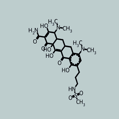 CN(C)c1cc(CCCNS(C)(=O)=O)c(O)c2c1CC1CC3C(N(C)C)C(O)=C(C(N)=O)C(=O)C3(O)C(O)=C1C2=O